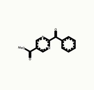 COC(=O)c1cnc(C(=O)c2ccccc2)nc1